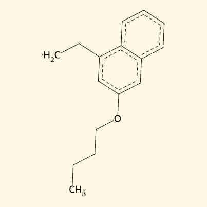 [CH2]Cc1cc(OCCCC)cc2ccccc12